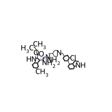 Cc1ccc2[nH]c(C(=O)OCC(C)C)c(/C(N)=C/N(N)CC3CCN(Cc4ccc(-c5cccc6[nH]ccc56)c(Cl)c4)CC3)c2c1